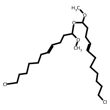 COC(CCC=CCCCCCCCl)OC(CCC=CCCCCCCCl)OC